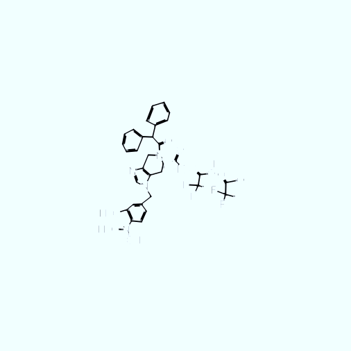 Cc1cc(Cn2cnc3c2C[C@@H](C(=O)O)N(C(=O)C(c2ccccc2)c2ccccc2)C3)ccc1N(C)C.O=C(O)C(F)(F)F.O=C(O)C(F)(F)F